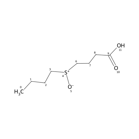 CCCC[S+]([O-])CCCC(=O)O